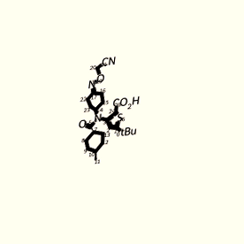 CC(C)(C)c1cc(N(C(=O)[C@H]2CC[C@H](C)CC2)C2CCC(=NOCC#N)CC2)c(C(=O)O)s1